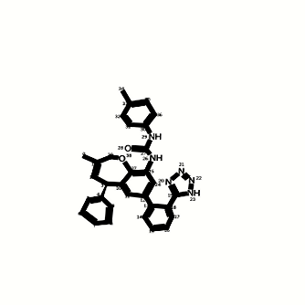 CC1=C[C@H](c2ccccc2)c2cc(-c3ccccc3-c3nnn[nH]3)cc(NC(=O)Nc3ccc(C)cc3)c2OC1